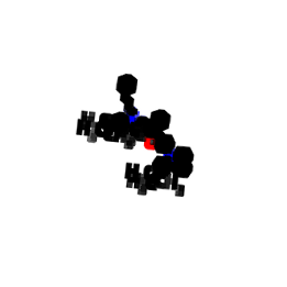 C/C(=C\c1c(C)c2oc3cc(N(c4ccc(C(C)(C)C)cc4)c4cccc5ccccc45)ccc3c2c2ccccc12)N(/C=C/CCc1ccccc1)c1ccc(C(C)(C)C)cc1